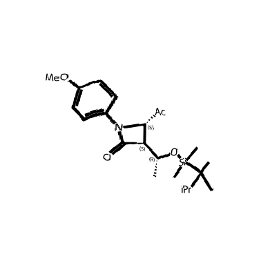 COc1ccc(N2C(=O)[C@H]([C@@H](C)O[Si](C)(C)C(C)(C)C(C)C)[C@H]2C(C)=O)cc1